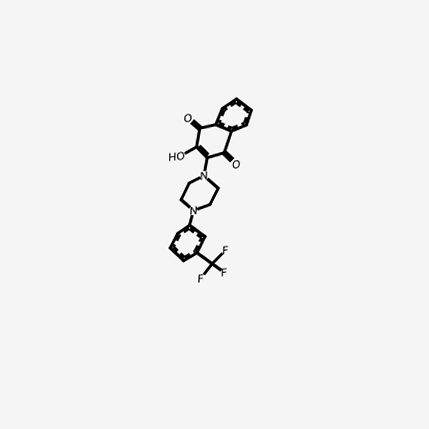 O=C1C(O)=C(N2CCN(c3cccc(C(F)(F)F)c3)CC2)C(=O)c2ccccc21